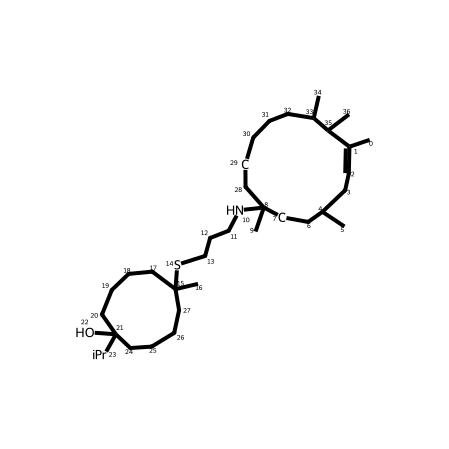 C/C1=C/CC(C)CCC(C)(NCCCSC2(C)CCCCC(O)(C(C)C)CCCC2)CCCCCC(C)C1C